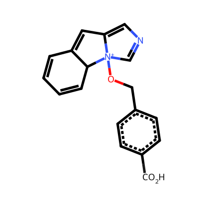 O=C(O)c1ccc(CO[N+]23C=NC=C2C=C2C=CC=CC23)cc1